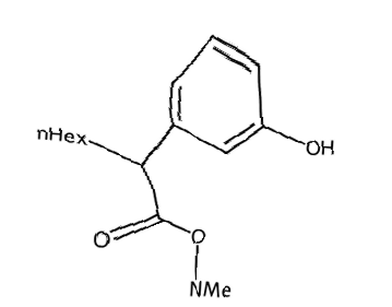 CCCCCCC(C(=O)ONC)c1cccc(O)c1